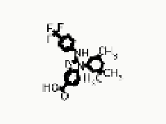 CC1CC(n2c(Nc3ccc(C(F)(F)F)cc3)nc3cc(C(=O)O)ccc32)CC(C)(C)C1